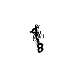 Cc1cc(Br)cc(S(=O)(=O)NC(=O)COc2ccc3c(c2)=CCCC=3)c1